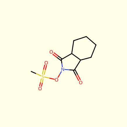 CS(=O)(=O)ON1C(=O)C2CCCCC2C1=O